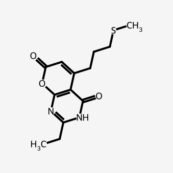 CCc1nc2oc(=O)cc(CCCSC)c2c(=O)[nH]1